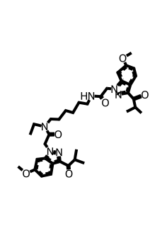 CCN(CCCCCCNC(=O)Cn1nc(C(=O)C(C)C)c2ccc(OC)cc21)C(=O)Cn1nc(C(=O)C(C)C)c2ccc(OC)cc21